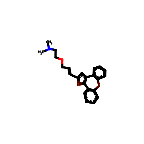 CN(C)CCOCC=Cc1cc2c(s1)-c1ccccc1Sc1ccccc1-2